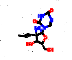 CC#C[C@@]1(N)C(O)[C@@H](CO)O[C@H]1n1cnc(=O)[nH]c1=O